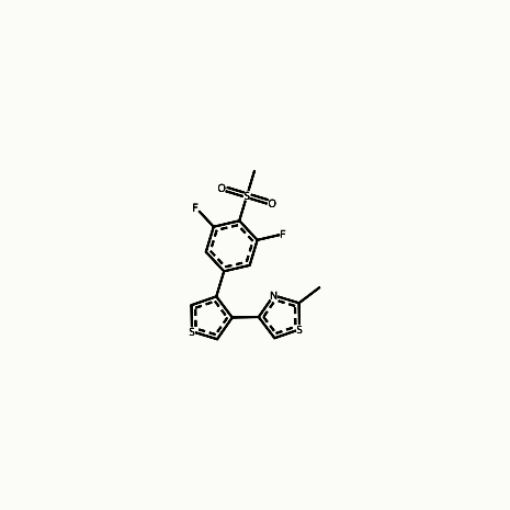 Cc1nc(-c2cscc2-c2cc(F)c(S(C)(=O)=O)c(F)c2)cs1